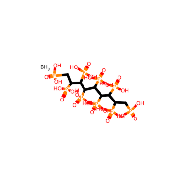 B.O=P(O)(O)CC(C(C(C(C(C(C(CP(=O)(O)O)P(=O)(O)O)P(=O)(O)O)P(=O)(O)O)P(=O)(O)O)P(=O)(O)O)P(=O)(O)O)P(=O)(O)O